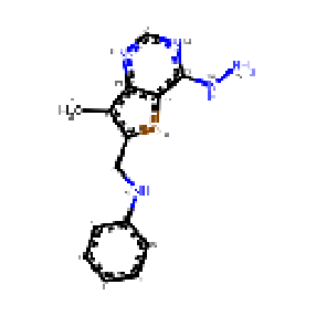 Cc1c(CNc2ccccc2)sc2c(NN)ncnc12